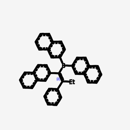 CC/C(=C(\B(c1ccc2ccccc2c1)c1ccc2ccccc2c1)c1ccc2ccccc2c1)c1ccccc1